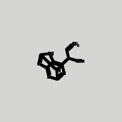 C=CC(OC)c1nc2nc3nc([nH]c13)[PH]2=O